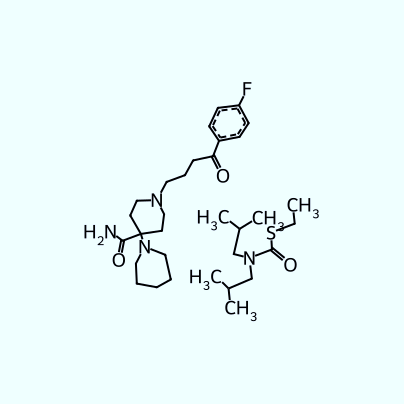 CCSC(=O)N(CC(C)C)CC(C)C.NC(=O)C1(N2CCCCC2)CCN(CCCC(=O)c2ccc(F)cc2)CC1